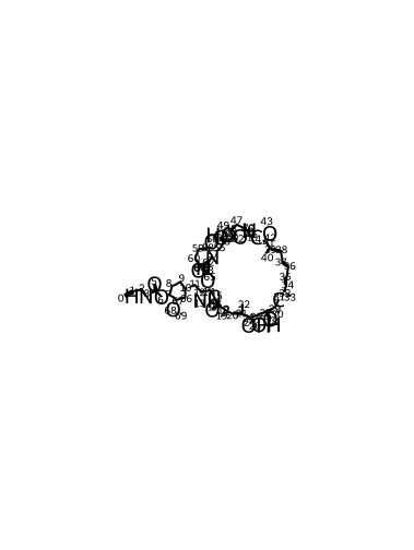 C#CCNC(=O)O[C@@H]1CC[C@@H](C[C@@H](N)[C@@H]2CC(=O)[C@H](C)/C=C(\C)[C@@H](O)[C@@H](O)C(=O)[C@H](C)C[C@H](C)/C=C/C=C/C=C(\C)[C@@H](OC)C[C@@H]3CC[C@@H](C)[C@@](O)(O3)C(=O)C(=O)N3CCCC[C@H]3C(=O)O2)C[C@H]1OC